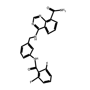 NC(=O)c1cccc2c(NCc3cccc(NC(=O)c4c(F)cccc4F)c3)ncnc12